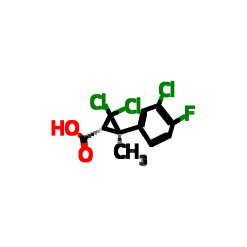 C[C@]1(c2ccc(F)c(Cl)c2)[C@H](C(=O)O)C1(Cl)Cl